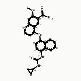 COc1cc2nccc(Oc3ccc(NC(=O)NC4CC4)c4ccccc34)c2cc1C(N)=O